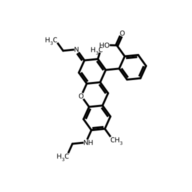 CCN=c1cc2oc3cc(NCC)c(C)cc3cc-2c(-c2ccccc2C(=O)O)c1C